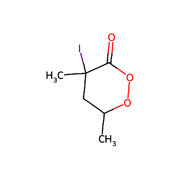 CC1CC(C)(I)C(=O)OO1